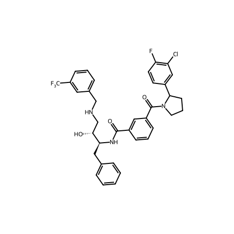 O=C(N[C@@H](Cc1ccccc1)[C@H](O)CNCc1cccc(C(F)(F)F)c1)c1cccc(C(=O)N2CCCC2c2ccc(F)c(Cl)c2)c1